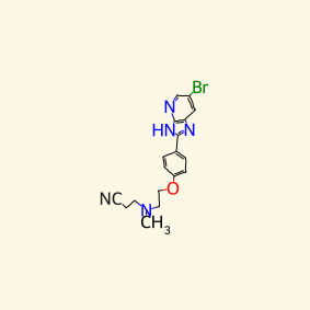 CN(CCC#N)CCOc1ccc(-c2nc3cc(Br)cnc3[nH]2)cc1